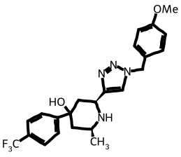 COc1ccc(Cn2cc([C@@H]3CC(O)(c4ccc(C(F)(F)F)cc4)C[C@H](C)N3)nn2)cc1